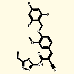 CCc1nnc(NC(=O)C(C#N)=Cc2ccc(OCc3c(F)cc(F)cc3F)c(OC)c2)s1